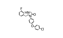 O=C1CNC(Cc2cccc(F)c2)N1c1ccc(Oc2ccc(Cl)cc2)cc1